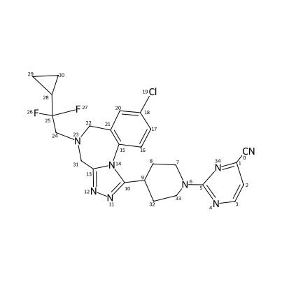 N#Cc1ccnc(N2CCC(c3nnc4n3-c3ccc(Cl)cc3CN(CC(F)(F)C3CC3)C4)CC2)n1